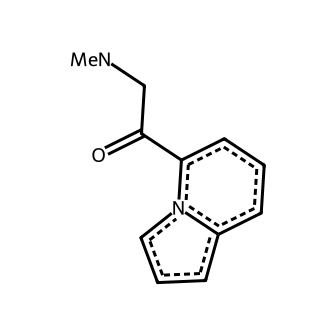 CNCC(=O)c1cccc2cccn12